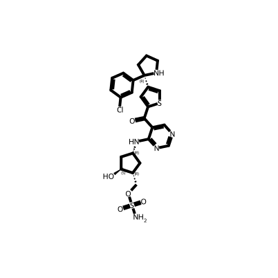 NS(=O)(=O)OC[C@H]1C[C@@H](Nc2ncncc2C(=O)c2cc([C@]3(c4cccc(Cl)c4)CCCN3)cs2)C[C@@H]1O